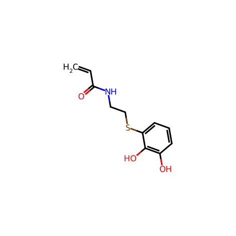 C=CC(=O)NCCSc1cccc(O)c1O